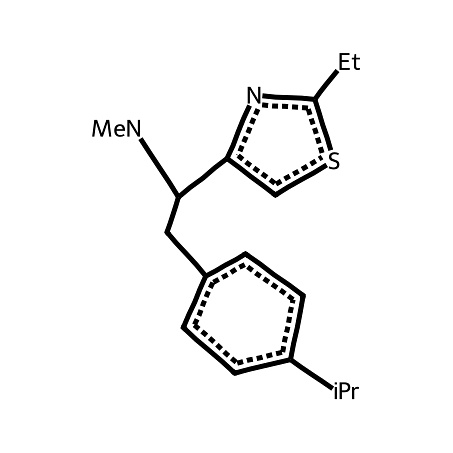 CCc1nc(C(Cc2ccc(C(C)C)cc2)NC)cs1